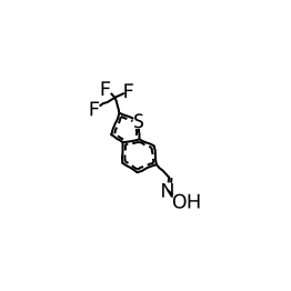 O/N=C/c1ccc2cc(C(F)(F)F)sc2c1